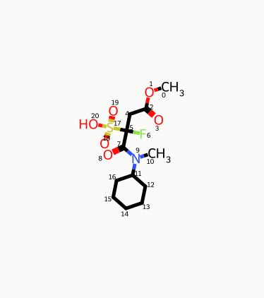 COC(=O)CC(F)(C(=O)N(C)C1CCCCC1)S(=O)(=O)O